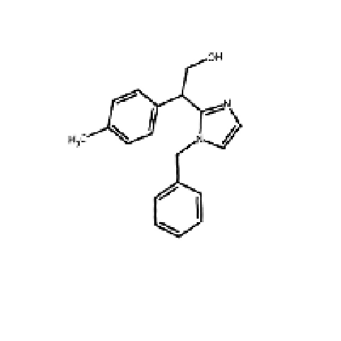 Cc1ccc(C(CO)c2nccn2Cc2ccccc2)cc1